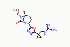 N=C(N)NCC1(c2nnc([C@@H]3CC[C@@H]4CN3C(=O)N4OS(=O)(=O)O)o2)CC1